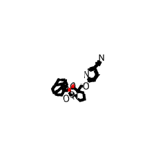 COC(=O)C12CC3CC(C1)C(N1CC4(COc5ccc(C#N)cn5)CCCN4C1=O)C(C3)C2